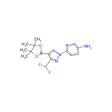 CC1(C)OB(c2cn(-c3ccc(N)cn3)nc2C(F)F)OC1(C)C